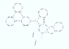 C=C/C=C\c1c(C)c2cc3ccccc3n2c2c3ccccc3n(-c3ccc4c5ccccc5c5ccccc5c4c3)c12